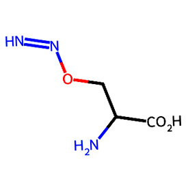 N=NOCC(N)C(=O)O